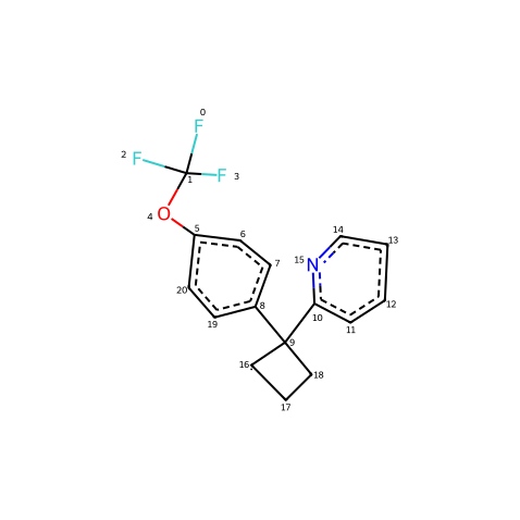 FC(F)(F)Oc1ccc(C2(c3ccccn3)[CH]CC2)cc1